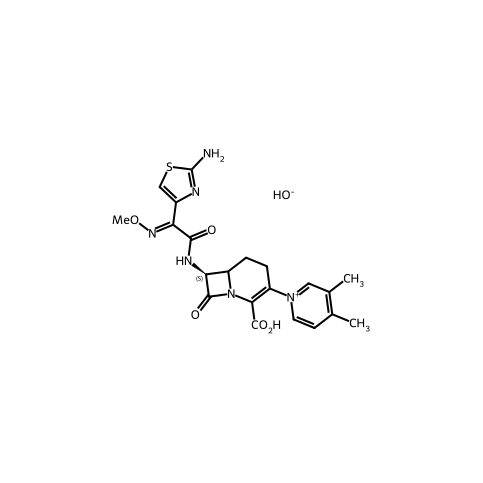 CON=C(C(=O)N[C@@H]1C(=O)N2C(C(=O)O)=C([n+]3ccc(C)c(C)c3)CCC12)c1csc(N)n1.[OH-]